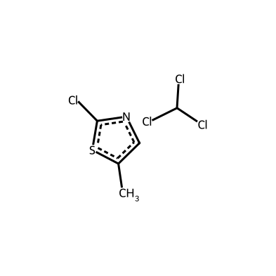 Cc1cnc(Cl)s1.ClC(Cl)Cl